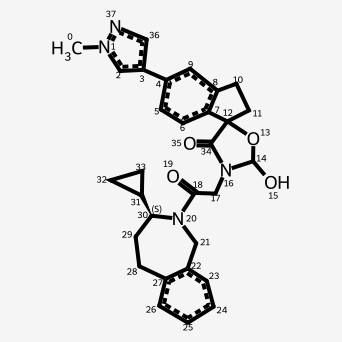 Cn1cc(-c2ccc3c(c2)CCC32OC(O)N(CC(=O)N3Cc4ccccc4CC[C@H]3C3CC3)C2=O)cn1